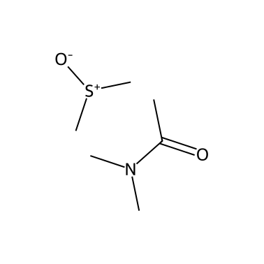 CC(=O)N(C)C.C[S+](C)[O-]